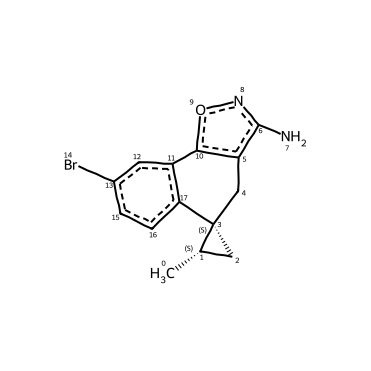 C[C@H]1C[C@]12Cc1c(N)noc1-c1cc(Br)ccc12